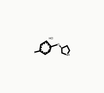 Cl.Ic1ccc(O[C@H]2CCNC2)cc1